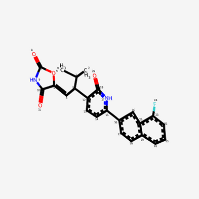 CC(C)C(C=C1OC(=O)NC1=O)c1ccc(-c2ccc3cccc(F)c3c2)[nH]c1=O